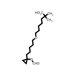 CC(C)(CCCCCOCCCCCC1(OC=O)CC1)C(=O)O